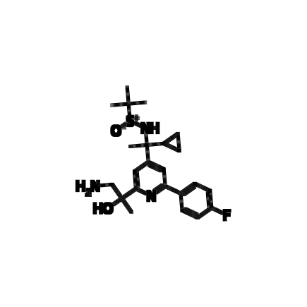 CC(O)(CN)c1cc(C(C)(N[S+]([O-])C(C)(C)C)C2CC2)cc(-c2ccc(F)cc2)n1